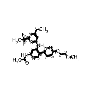 CCc1cc(Nc2cc(NC(C)=O)ncc2-c2ccc(OCCOC)nn2)nc(C(C)(F)F)n1